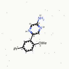 COc1ccc(C(C)C)cc1-c1cnc(N)cn1